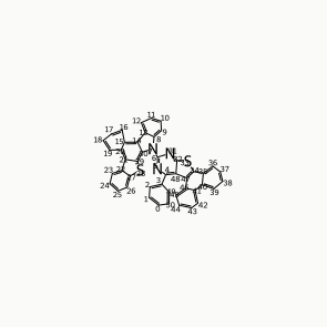 c1ccc(-c2nc(-n3c4ccccc4c4c5ccccc5c5c6ccccc6sc5c43)nc3sc4c5ccccc5c5ccccc5c4c23)cc1